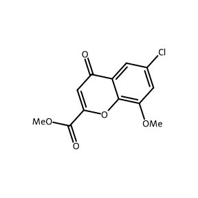 COC(=O)c1cc(=O)c2cc(Cl)cc(OC)c2o1